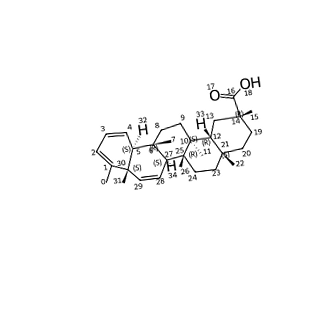 CC1=CC=C[C@H]2[C@]3(C)CC[C@@]4(C)[C@@H]5C[C@](C)(C(=O)O)CC[C@]5(C)CC[C@]4(C)[C@H]3C=C[C@]12C